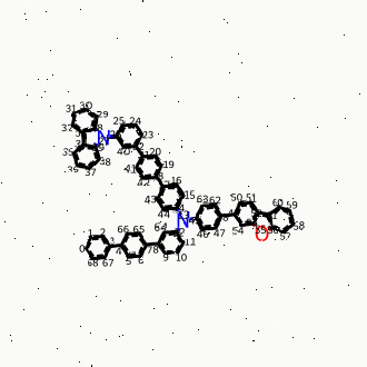 c1ccc(-c2ccc(-c3cccc(N(c4ccc(-c5ccc(-c6cccc(-n7c8ccccc8c8ccccc87)c6)cc5)cc4)c4ccc(-c5ccc6c(c5)oc5ccccc56)cc4)c3)cc2)cc1